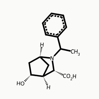 CC(c1ccccc1)N1[C@H]2C[C@H]([C@H](O)C2)[C@H]1C(=O)O